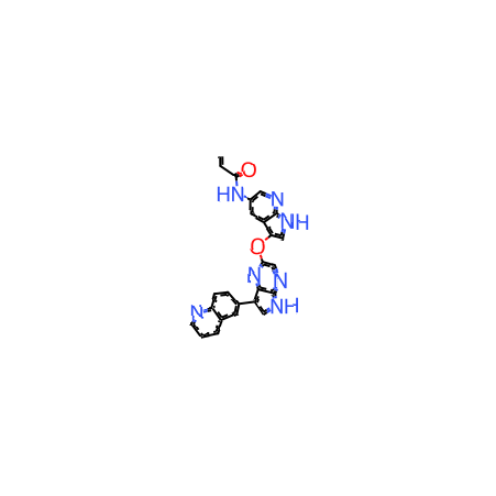 C=CC(=O)Nc1cnc2[nH]cc(Oc3cnc4[nH]cc(-c5ccc6ncccc6c5)c4n3)c2c1